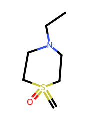 C=S1(=O)CCN(CC)CC1